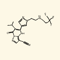 CC(C)c1c(-c2cnn(CCNCC(F)(F)F)c2)[nH]c2c(C#N)cnn2c1=O